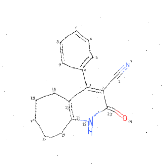 N#Cc1c(-c2ccccc2)c2c([nH]c1=O)CCCCC2